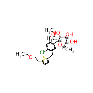 CCOCCc1ccc(Cc2cc([C@]3(C)O[C@H](C)[C@@H](O)[C@H](O)[C@H]3O)c(COC)cc2Cl)s1